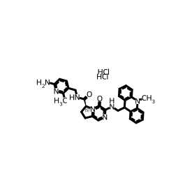 Cc1nc(N)ccc1CNC(=O)[C@@H]1CCc2cnc(NCC3c4ccccc4N(C)c4ccccc43)c(=O)n21.Cl.Cl